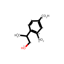 CC(CO)c1ccc(C(=O)O)cc1[N+](=O)[O-]